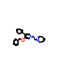 C1=CCN(CCn2cc(OCc3ccccc3)c(-c3ccccc3)c2)CC1